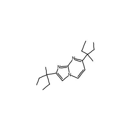 CCC(C)(CC)c1ccn2cc(C(C)(CC)CC)nc2n1